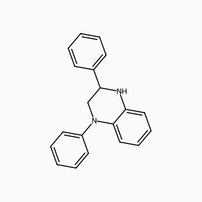 c1ccc(C2CN(c3ccccc3)c3ccccc3N2)cc1